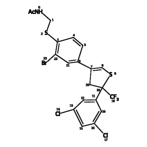 CC(=O)NCSc1ccc(C2=CSC(c3cc(Cl)cc(Cl)c3)(C(F)(F)F)C2)cc1Br